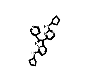 c1cc(NC2CCCC2)n2nc(-c3ccncc3)c(-c3ccnc(NC4CCCC4)n3)c2c1